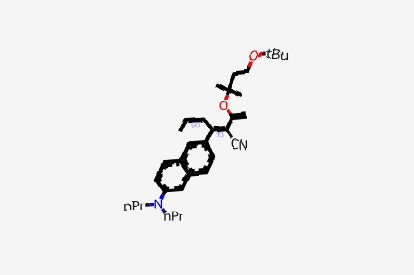 C=C(OC(C)(C)CCOC(C)(C)C)/C(C#N)=C(\C=C/C)c1ccc2cc(N(CCC)CCC)ccc2c1